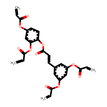 C=CC(=O)Oc1cc(/C=C/C(=O)Oc2ccc(OC(=O)C=C)cc2OC(=O)C=C)cc(OC(=O)C=C)c1